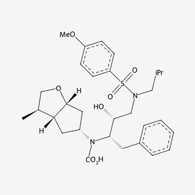 COc1ccc(S(=O)(=O)N(CC(C)C)C[C@@H](O)[C@H](Cc2ccccc2)N(C(=O)O)[C@@H]2C[C@@H]3[C@@H](C)CO[C@@H]3C2)cc1